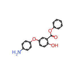 Nc1ccc(Oc2ccc(O)c(C(=O)Oc3ccccc3)c2)cc1